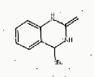 C=C1Nc2ccccc2C(C(C)(C)C)N1